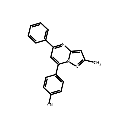 Cc1cc2nc(-c3ccccc3)cc(-c3ccc(C#N)cc3)n2n1